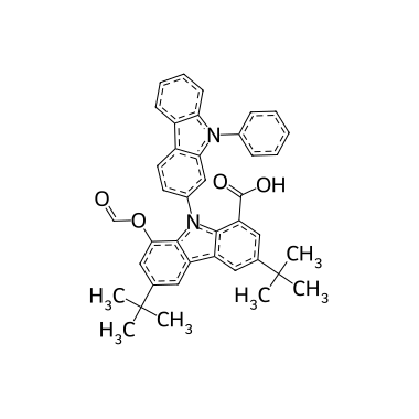 CC(C)(C)c1cc(OC=O)c2c(c1)c1cc(C(C)(C)C)cc(C(=O)O)c1n2-c1ccc2c3ccccc3n(-c3ccccc3)c2c1